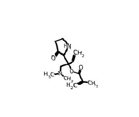 C=CC(CN(C)C)(OC(=O)C(=C)C)C1NCCC1=O